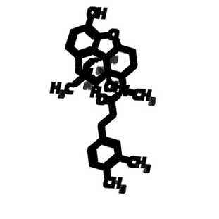 Cc1ccc(CCC(=O)N(C)C2CCC3Oc4c(O)ccc5c4[C@@]34CCN(C)[C@H](C5)[C@]24O)cc1C